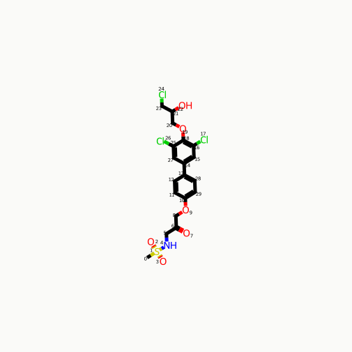 CS(=O)(=O)NCC(=O)COc1ccc(-c2cc(Cl)c(OCC(O)CCl)c(Cl)c2)cc1